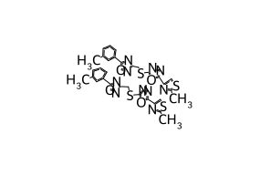 Cc1cccc(-c2nc(CSc3nnc(-c4csc(C)n4)o3)no2)c1.Cc1cccc(-c2nc(CSc3nnc(-c4csc(C)n4)o3)no2)c1